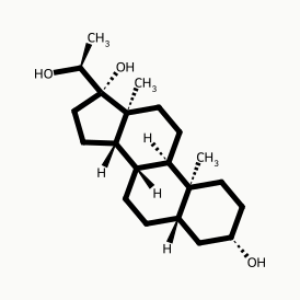 C[C@H](O)[C@]1(O)CC[C@H]2[C@H]3CC[C@H]4C[C@@H](O)CC[C@]4(C)[C@@H]3CC[C@@]21C